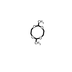 CC1OCCOC(C)OCCO1